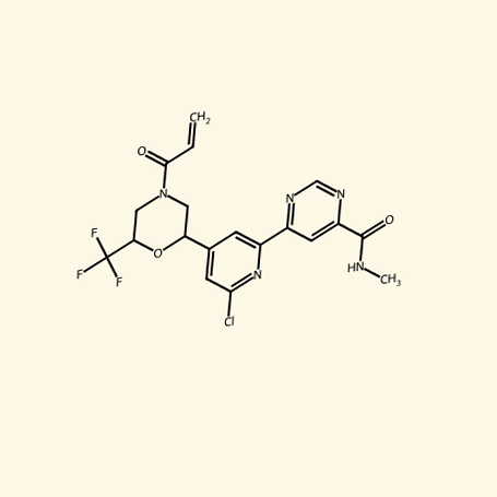 C=CC(=O)N1CC(c2cc(Cl)nc(-c3cc(C(=O)NC)ncn3)c2)OC(C(F)(F)F)C1